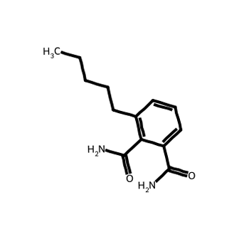 CCCCCc1cccc(C(N)=O)c1C(N)=O